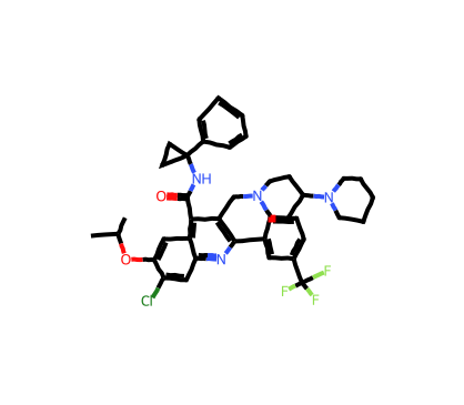 CC(C)Oc1cc2c(C(=O)NC3(c4ccccc4)CC3)c(CN3CCC(N4CCCCC4)CC3)c(-c3cccc(C(F)(F)F)c3)nc2cc1Cl